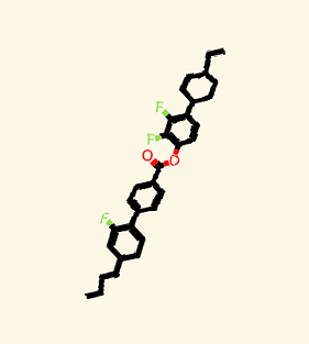 CCCCC1C=C(F)C(c2ccc(C(=O)Oc3ccc(C4CCC(CC)CC4)c(F)c3F)cc2)=CC1